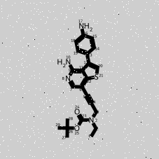 CCN(CC#Cc1cnc(N)c2c(-c3ccc(N)cc3)csc12)C(=O)OC(C)(C)C